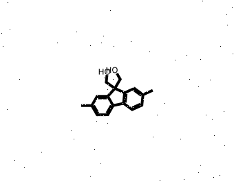 Cc1ccc2c(c1)C(CO)(CO)c1cc(C)ccc1-2